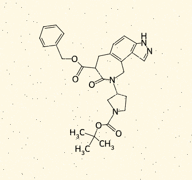 CC(C)(C)OC(=O)N1CCC(N2Cc3c(ccc4[nH]ncc34)CC(C(=O)OCc3ccccc3)C2=O)C1